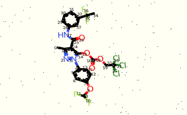 Cc1nn(-c2ccc(OC(F)F)cc2)c(OC(=O)OCC(Cl)(Cl)Cl)c1C(=O)Nc1cccc(C(C)(F)F)c1